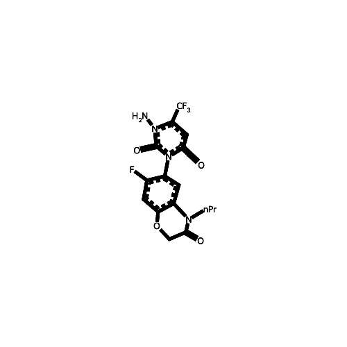 CCCN1C(=O)COc2cc(F)c(-n3c(=O)cc(C(F)(F)F)n(N)c3=O)cc21